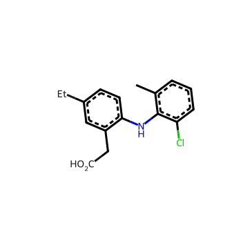 CCc1ccc(Nc2c(C)cccc2Cl)c(CC(=O)O)c1